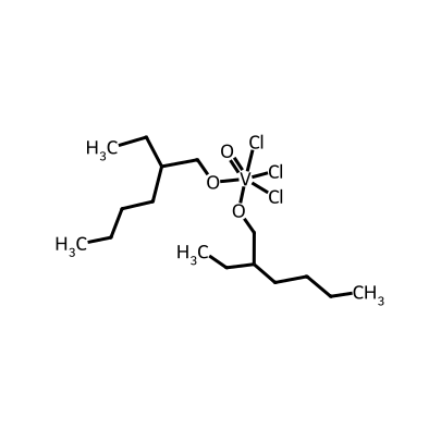 CCCCC(CC)C[O][V](=[O])([Cl])([Cl])([Cl])[O]CC(CC)CCCC